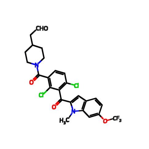 Cn1c(C(=O)c2c(Cl)ccc(C(=O)N3CCC(CC=O)CC3)c2Cl)cc2ccc(OC(F)(F)F)cc21